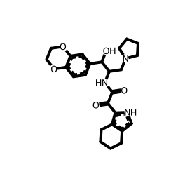 O=C(NC(CN1CCCC1)C(O)c1ccc2c(c1)OCCO2)C(=O)c1[nH]cc2c1CCCC2